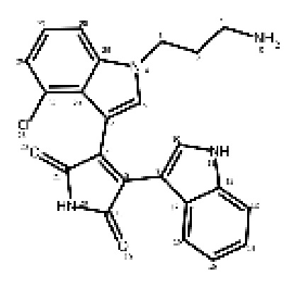 NCCCn1cc(C2=C(c3c[nH]c4ccccc34)C(=O)NC2=O)c2c(Cl)cccc21